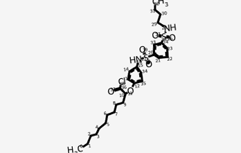 CCCCCCCCCCC(Oc1ccc(NS(=O)(=O)c2cccc(S(=O)(=O)NCCCC)c2)cc1)C(=O)Cl